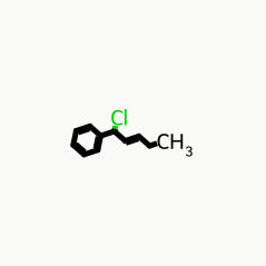 CCC=CC(Cl)c1ccccc1